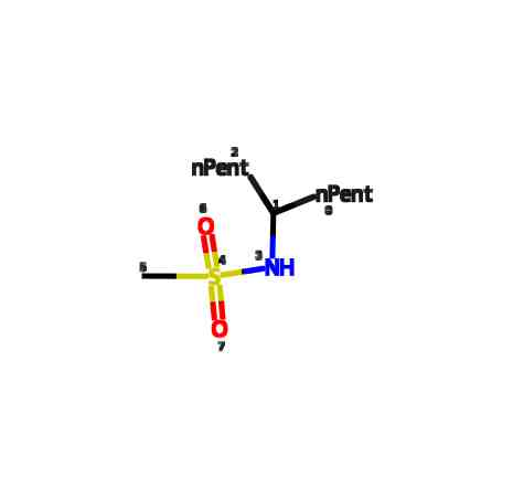 CCCCCC(CCCCC)NS(C)(=O)=O